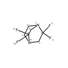 FC1(F)CN2CCN1CC2(F)F